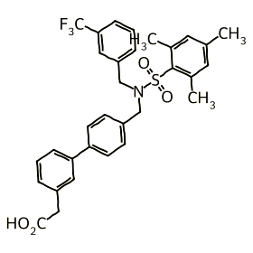 Cc1cc(C)c(S(=O)(=O)N(Cc2ccc(-c3cccc(CC(=O)O)c3)cc2)Cc2cccc(C(F)(F)F)c2)c(C)c1